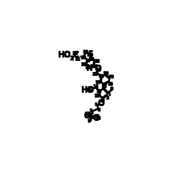 Cc1cc(OCCCS(C)(=O)=O)cc(CO)c1-c1cccc(COc2cc3c(cn2)[C@H](CC(=O)O)CS3)c1